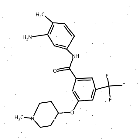 Cc1ccc(NC(=O)c2cc(OC3CCN(C)CC3)cc(C(F)(F)F)c2)cc1N